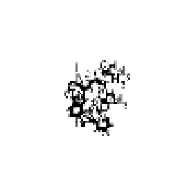 CC(C)(C)OC(=O)CCC(C(N)=O)N1Cc2c(ccc(Br)c2OCC2C=CCCN2C(=O)OC(C)(C)C)C1=O